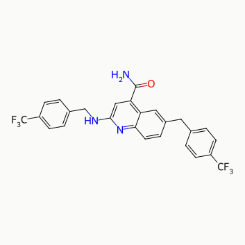 NC(=O)c1cc(NCc2ccc(C(F)(F)F)cc2)nc2ccc(Cc3ccc(C(F)(F)F)cc3)cc12